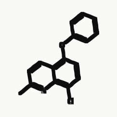 Cc1ccc2c(Oc3ccccc3)ccc(Cl)c2n1